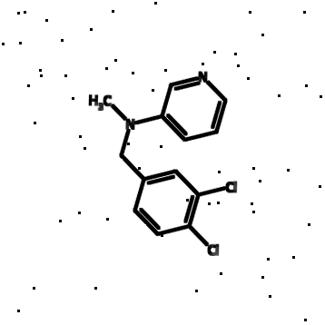 CN(Cc1ccc(Cl)c(Cl)c1)c1cccnc1